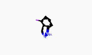 Ic1cccc2[nH]ncc12